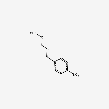 O=COC/C=C/c1ccc([N+](=O)[O-])cc1